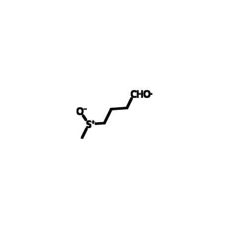 C[S+]([O-])CCC[C]=O